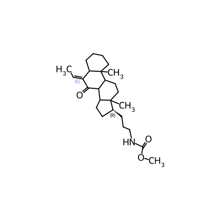 C/C=C1/C(=O)C2C(CCC3(C)C2CC[C@@H]3CCCNC(=O)OC)C2(C)CCCCC12